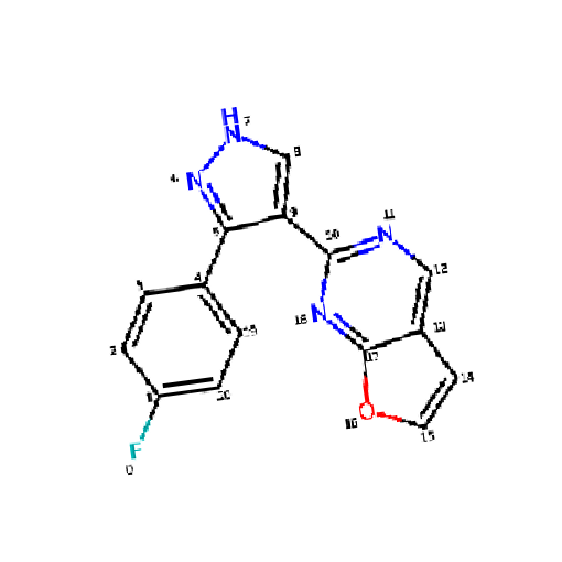 Fc1ccc(-c2n[nH]cc2-c2ncc3ccoc3n2)cc1